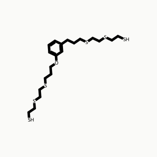 SCCSCCSCCCOc1cccc(CCCSCCSCCS)c1